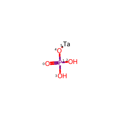 O=P(O)(O)[O][Ta]